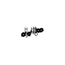 C/C(=N\NC(=O)c1cc2ccccc2cc1O)c1ccc2c(c1)Nc1ccccc1S2